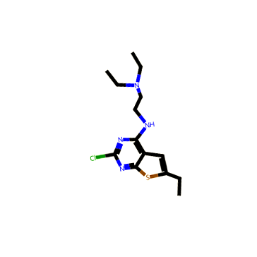 CCc1cc2c(NCCN(CC)CC)nc(Cl)nc2s1